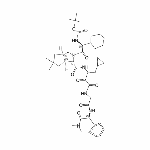 CN(C)C(=O)[C@@H](NC(=O)CNC(=O)C(=O)C(CC1CC1)NC(=O)[C@@H]1[C@H]2CC(C)(C)C[C@H]2CN1C(=O)[C@@H](NC(=O)OC(C)(C)C)C1CCCCC1)c1ccccc1